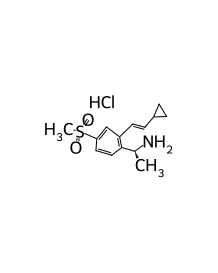 C[C@H](N)c1ccc(S(C)(=O)=O)cc1/C=C/C1CC1.Cl